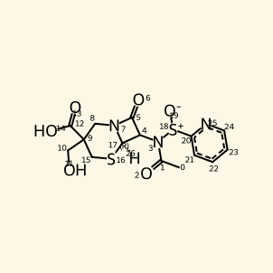 CC(=O)N(C1C(=O)N2CC(CO)(C(=O)O)CS[C@H]12)[S+]([O-])c1ccccn1